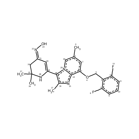 Cc1cc(OCc2c(F)cccc2F)c2nc(C)c(C3=C/C(=N\O)CC(C)(C)N3)n2c1